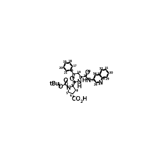 CC(C)(C)OC(=O)N1C[C@@H](C(=O)O)CC1C(=O)N[C@@H](CCc1ccccc1)C(=O)Nc1cnc2ccccc2c1